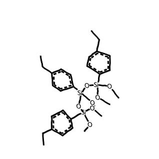 CCc1ccc([Si](OC)(OC)O[Si](OC)(O[Si](OC)(OC)c2ccc(CC)cc2)c2ccc(CC)cc2)cc1